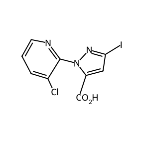 O=C(O)c1cc(I)nn1-c1ncccc1Cl